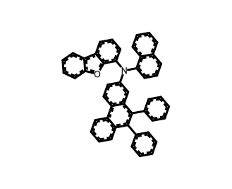 c1ccc(-c2c(-c3ccccc3)c3cc(N(c4cccc5ccccc45)c4cccc5c4oc4ccccc45)ccc3c3ccccc23)cc1